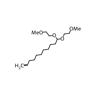 C=CCCCCCCCCC(OCCOC)OCCOC